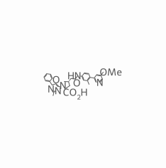 COc1cncc(-c2ccc(NC(=O)C[C@H]3C[C@@H](C(=O)O)N(c4nc(C)nc5c4oc4ccccc45)C3)cc2C)c1